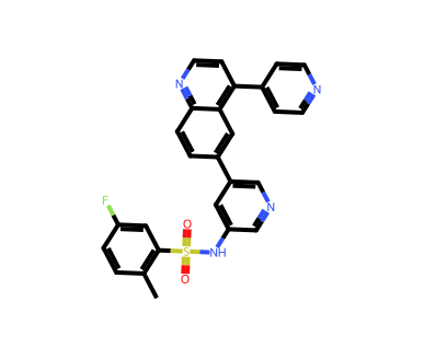 Cc1ccc(F)cc1S(=O)(=O)Nc1cncc(-c2ccc3nccc(-c4ccncc4)c3c2)c1